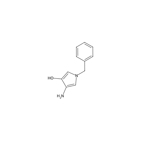 Nc1cn(Cc2ccccc2)cc1O